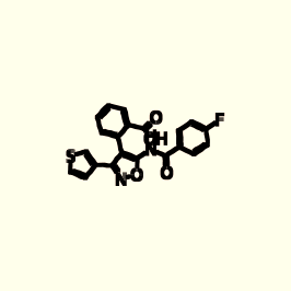 O=C(Nc1onc(-c2ccsc2)c1-c1ccccc1C(=O)O)c1ccc(F)cc1